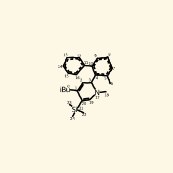 CCC(C)C1=CC(c2c(C)cccc2-c2ccccc2)N(C)C=C1[Si](C)(C)C